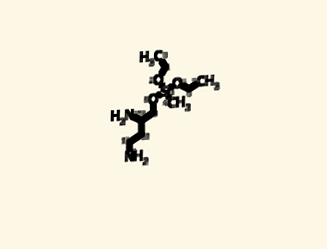 CCO[Si](C)(OCC)OCC(N)CCN